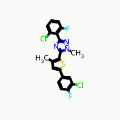 Cc1cc(-c2ccc(F)c(Cl)c2)sc1-c1nc(-c2c(F)cccc2Cl)nn1C